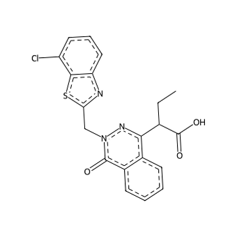 CCC(C(=O)O)c1nn(Cc2nc3cccc(Cl)c3s2)c(=O)c2ccccc12